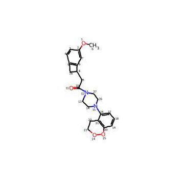 COc1ccc2c(c1)C(CC(=O)N1CCN(c3cccc4c3CCOO4)CC1)C2